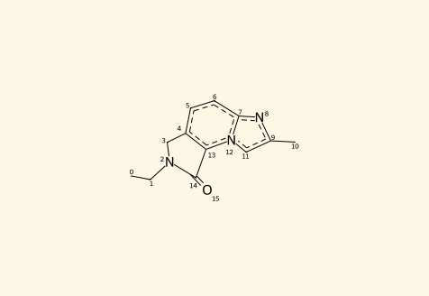 CCN1Cc2ccc3nc(C)cn3c2C1=O